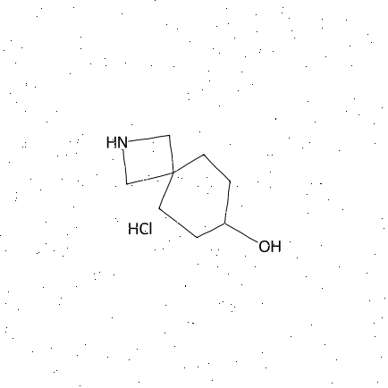 Cl.OC1CCC2(CC1)CNC2